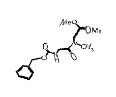 COC(CN(C)C(=O)CNC(=O)OCc1ccccc1)OC